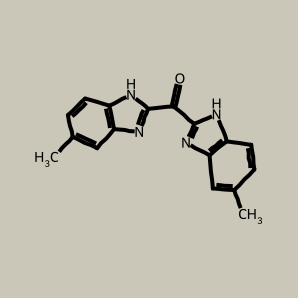 Cc1ccc2[nH]c(C(=O)c3nc4cc(C)ccc4[nH]3)nc2c1